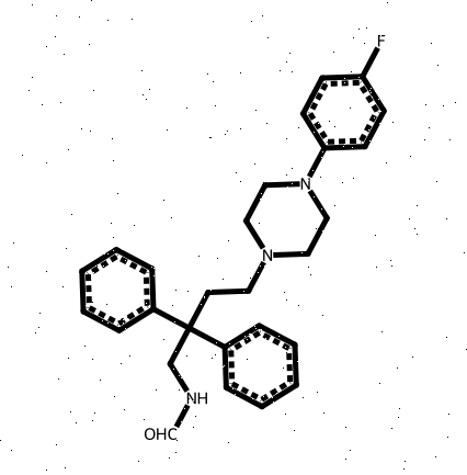 O=CNCC(CCN1CCN(c2ccc(F)cc2)CC1)(c1ccccc1)c1ccccc1